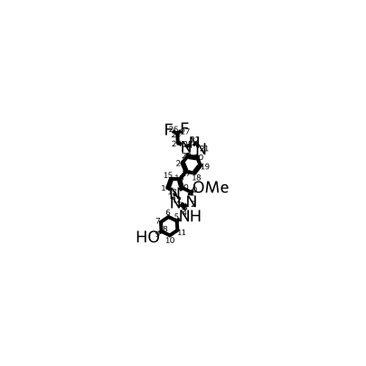 COc1nc(NC2CCC(O)CC2)nn2ccc(-c3ccc4nnn(CC(F)F)c4c3)c12